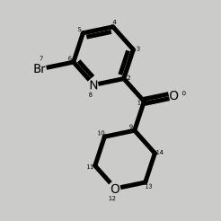 O=C(c1cccc(Br)n1)C1CCOCC1